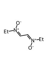 CC[N+]([O-])=CC=[N+]([O-])CC